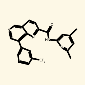 Cc1cc(C)nc(NC(=O)c2ccc3cncc(-c4cccc(C(F)(F)F)c4)c3n2)c1